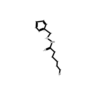 O=C(CCCCCBr)NOCc1ccccc1